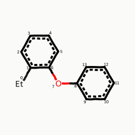 CCc1ccccc1Oc1ccccc1